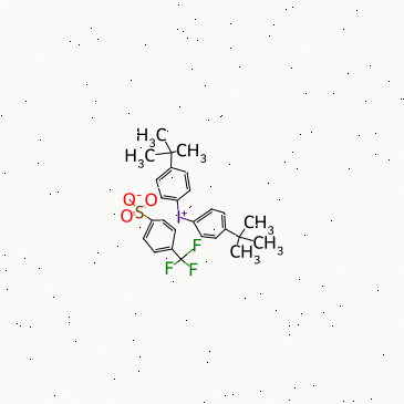 CC(C)(C)c1ccc([I+]c2ccc(C(C)(C)C)cc2)cc1.O=S(=O)([O-])c1ccc(C(F)(F)F)cc1